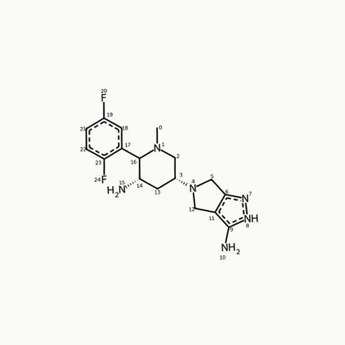 CN1C[C@H](N2Cc3n[nH]c(N)c3C2)C[C@H](N)C1c1cc(F)ccc1F